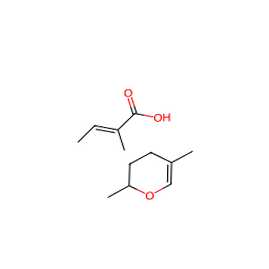 C/C=C(\C)C(=O)O.CC1=COC(C)CC1